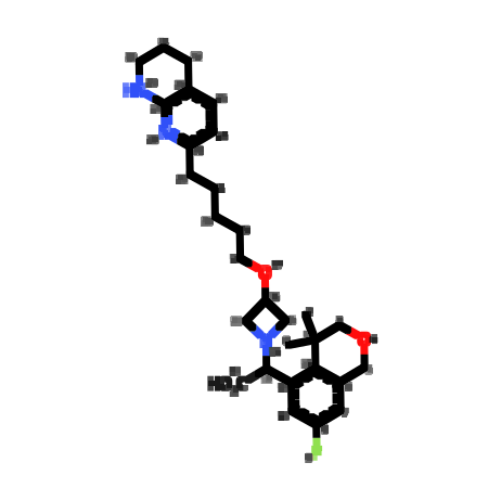 CC1(C)COCc2cc(F)cc(C(C(=O)O)N3CC(OCCCCCc4ccc5c(n4)NCCC5)C3)c21